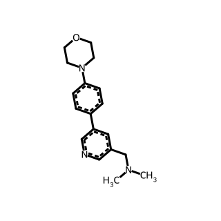 CN(C)Cc1cncc(-c2ccc(N3CCOCC3)cc2)c1